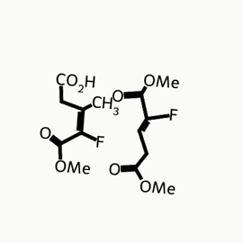 COC(=O)C(F)=C(C)CC(=O)O.COC(=O)CC=C(F)C(=O)OC